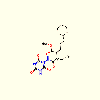 CC(C)C[C@@H](C(=O)Nn1c(=O)[nH]c(=O)[nH]c1=O)[C@H](CCCC1CCCCC1)C(=O)OC(C)(C)C